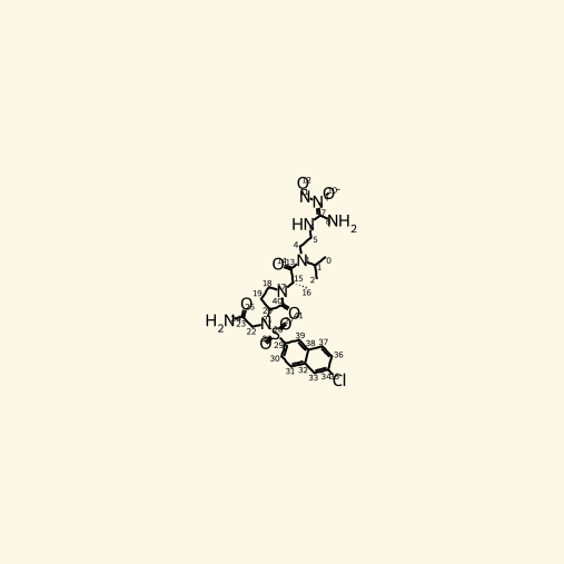 CC(C)N(CCN/C(N)=[N+](/[O-])N=O)C(=O)[C@H](C)N1CC[C@H](N(CC(N)=O)S(=O)(=O)c2ccc3cc(Cl)ccc3c2)C1=O